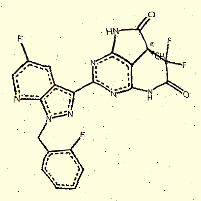 C[C@]12C(=O)Nc3nc(-c4nn(Cc5ccccc5F)c5ncc(F)cc45)nc(c31)NC(=O)C2(F)F